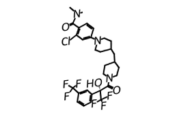 CN(C)C(=O)c1ccc(N2CCC(CC3CCN(C(=O)[C@](O)(c4cccc(C(F)(F)F)c4)C(F)(F)F)CC3)CC2)cc1Cl